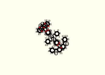 c1ccc2c(c1)N(c1ccc(-c3cccc4oc5ccccc5c34)cc1)C1(N2c2ccc(-c3cccc4oc5ccccc5c34)cc2)N(c2ccc(-c3cccc4oc5ccccc5c34)cc2)c2ccccc2N1c1ccc(-c2cccc3oc4ccccc4c23)cc1